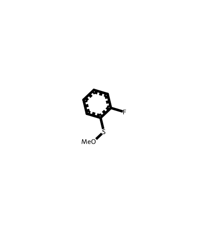 COSc1ccccc1F